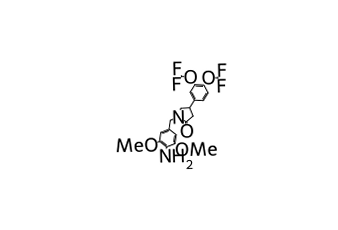 COc1cc(CN2CC(c3ccc(OC(F)F)c(OC(F)F)c3)CC2=O)cc(OC)c1N